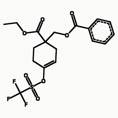 CCOC(=O)C1(COC(=O)c2ccccc2)CC=C(OS(=O)(=O)C(F)(F)F)CC1